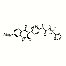 CNc1ccc2c(=O)n(-c3ccc(NC(=O)NS(=O)(=O)c4cccs4)nn3)c(=O)[nH]c2c1